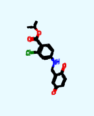 CC(C)OC(=O)c1ccc(NCC2=CC(=O)C=CC2=O)cc1Cl